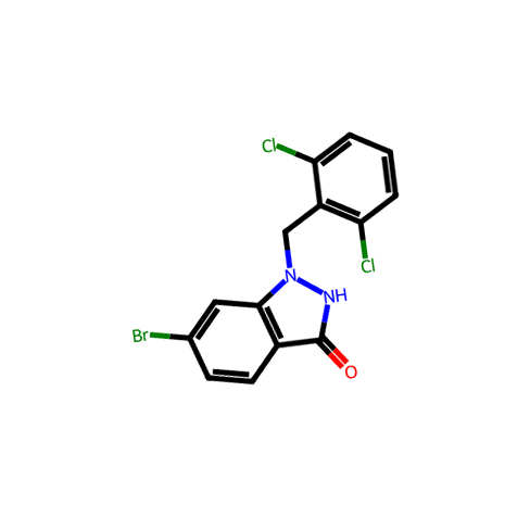 O=c1[nH]n(Cc2c(Cl)cccc2Cl)c2cc(Br)ccc12